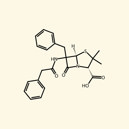 CC1(C)S[C@H]2N(C(=O)C2(Cc2ccccc2)NC(=O)Cc2ccccc2)[C@H]1C(=O)O